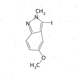 COc1ccc2nn(C)c(I)c2c1